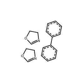 C1=NCCO1.C1=NCCO1.c1ccc(-c2ccccc2)cc1